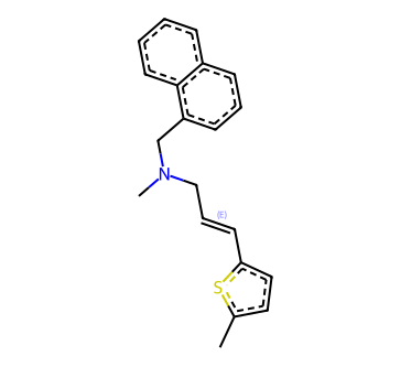 Cc1ccc(/C=C/CN(C)Cc2cccc3ccccc23)s1